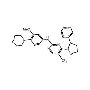 COc1cc(Nc2ncc(C(F)(F)F)c(N3OCCC3c3ccccc3)n2)ccc1N1CCOCC1